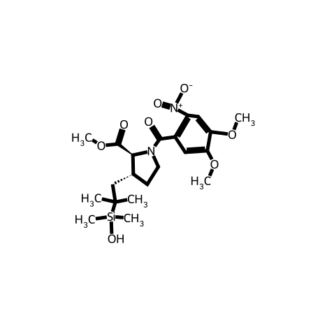 COC(=O)[C@@H]1[C@@H](CC(C)(C)[Si](C)(C)O)CCN1C(=O)c1cc(OC)c(OC)cc1[N+](=O)[O-]